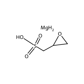 O=S(=O)(O)CC1CO1.[MgH2]